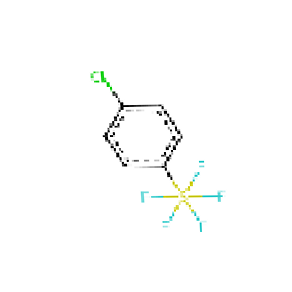 FS(F)(F)(F)(F)c1ccc(Cl)cc1